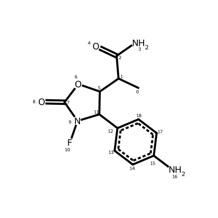 CC(C(N)=O)C1OC(=O)N(F)C1c1ccc(N)cc1